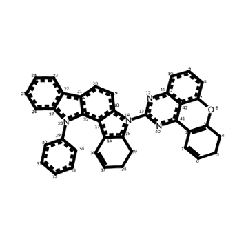 C1=CC2=C(CC1)Oc1cccc3nc(-n4c5c(c6c4ccc4c7ccccc7n(-c7ccccc7)c46)C=CCC5)nc2c13